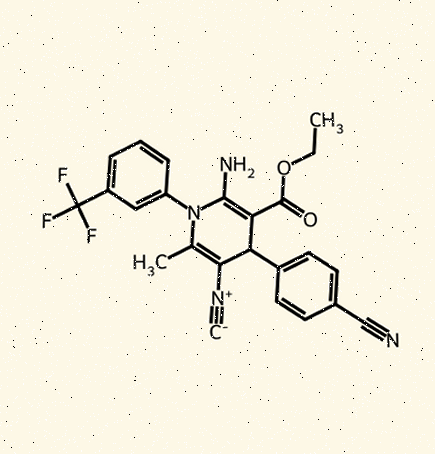 [C-]#[N+]C1=C(C)N(c2cccc(C(F)(F)F)c2)C(N)=C(C(=O)OCC)C1c1ccc(C#N)cc1